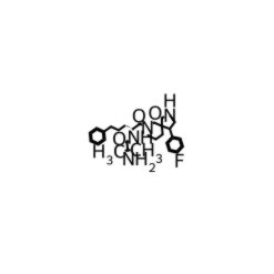 CC(C)(N)C(=O)N[C@H](CCCc1ccccc1)C(=O)N1CCCC2(C1)C(=O)NCC2c1ccc(F)cc1